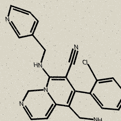 N#CC1=C(NCc2cccnc2)N2CN=CC=C2C(CN)=C1c1ccccc1Cl